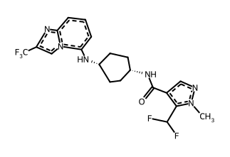 Cn1ncc(C(=O)N[C@H]2CC[C@@H](Nc3cccc4nc(C(F)(F)F)cn34)CC2)c1C(F)F